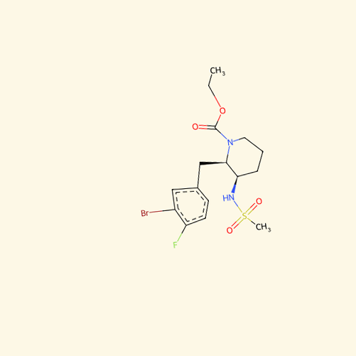 CCOC(=O)N1CCC[C@@H](NS(C)(=O)=O)[C@H]1Cc1ccc(F)c(Br)c1